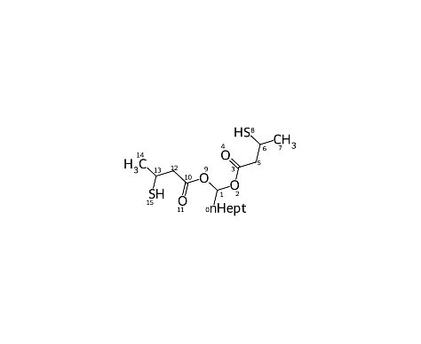 CCCCCCCC(OC(=O)CC(C)S)OC(=O)CC(C)S